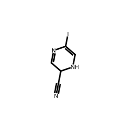 N#CC1C=NC(I)=CN1